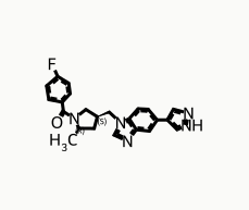 C[C@@H]1C[C@H](Cn2cnc3cc(-c4cn[nH]c4)ccc32)CN1C(=O)c1ccc(F)cc1